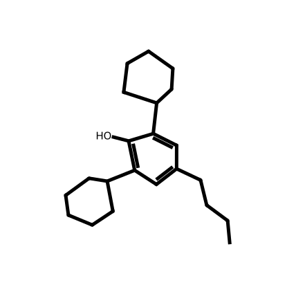 CCCCc1cc(C2CCCCC2)c(O)c(C2CCCCC2)c1